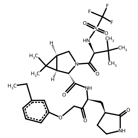 CCc1cccc(OCC(=O)[C@H](C[C@@H]2CCNC2=O)NC(=O)[C@@H]2[C@@H]3[C@H](CN2C(=O)[C@@H](NS(=O)(=O)C(F)(F)F)C(C)(C)C)C3(C)C)c1